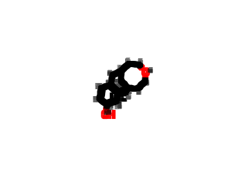 CC12CCOCCC(Cc3ccc(O)cc31)C2